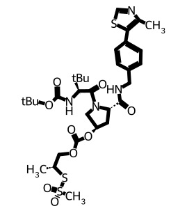 Cc1ncsc1-c1ccc(CNC(=O)[C@@H]2C[C@@H](OC(=O)OC[C@@H](C)SS(C)(=O)=O)CN2C(=O)[C@@H](NC(=O)OC(C)(C)C)C(C)(C)C)cc1